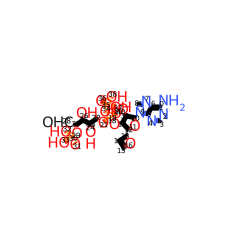 Nc1ncnc2c1ncn2[C@@H]1O[C@H](C2C=CO2)[C@@H](OP(=O)(OC[C@@H](O)[C@@H](O)[C@H](C=O)OP(=O)(O)O)OP(=O)(O)O)[C@H]1O